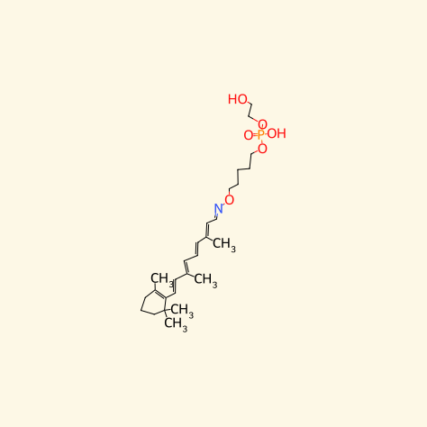 CC1=C(/C=C/C(C)=C/C=C/C(C)=C/C=NOCCCCCOP(=O)(O)OCCO)C(C)(C)CCC1